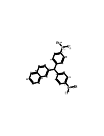 CCN(CC)c1ccc(C(c2ccc(N(CC)CC)cc2)c2ccc3ccccc3c2)cc1